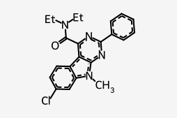 CCN(CC)C(=O)c1nc(-c2ccccc2)nc2c1c1ccc(Cl)cc1n2C